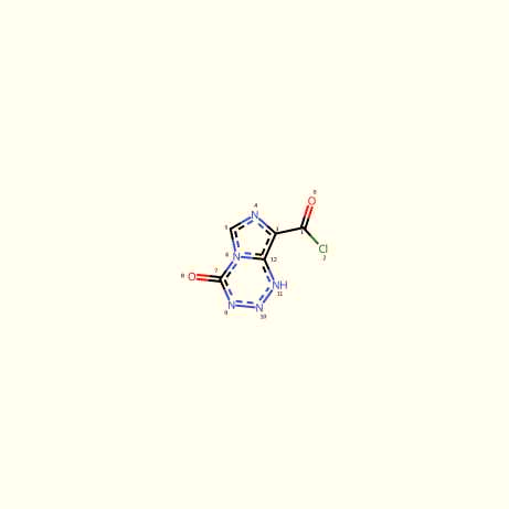 O=C(Cl)c1ncn2c(=O)nn[nH]c12